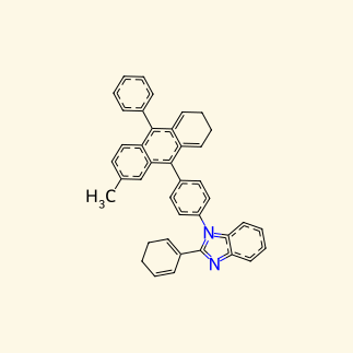 Cc1ccc2c(-c3ccccc3)c3c(c(-c4ccc(-n5c(C6=CCCC=C6)nc6ccccc65)cc4)c2c1)=CCCC=3